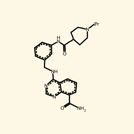 CC(C)N1CCC(C(=O)Nc2cccc(CNc3ncnc4c(C(N)=O)cccc34)c2)CC1